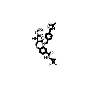 Cc1nc(-c2ccc(CN3C(=O)[C@@H](NC(=O)OC(C)(C)C)CSc4ccc(C(=O)NC5CC5(F)F)cc43)cc2)no1